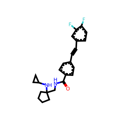 O=C(NCC1(NC2CC2)CCCC1)c1ccc(C#Cc2ccc(F)c(F)c2)cc1